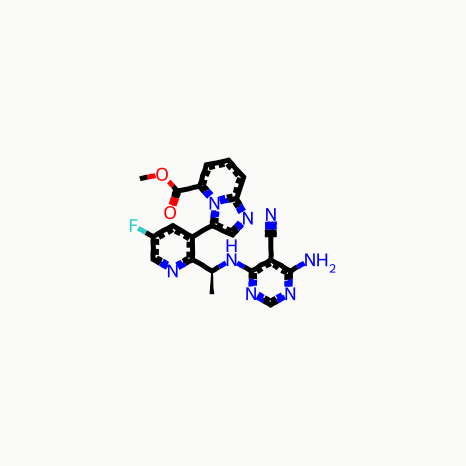 COC(=O)c1cccc2ncc(-c3cc(F)cnc3[C@H](C)Nc3ncnc(N)c3C#N)n12